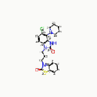 O=c1sc2ccccc2n1CCCn1c(=O)[nH]c2c(N3CCCCC3)c(Cl)ccc21